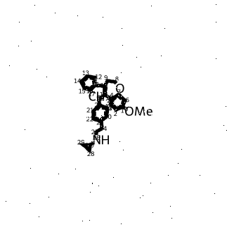 COc1ccc2c(c1)OCCC(c1ccccc1C)=C2Cc1ccc(CCNC2CC2)cc1